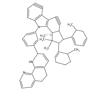 CC1CC=CC=C1C1C(C2=CCCCC2C)C(C)(C)[C@@]2(C)c3c(c4c#cccc4n3-c3cccc(C4C=CC5=C(N4)c4ncccc4CC5)c3)C#CC12